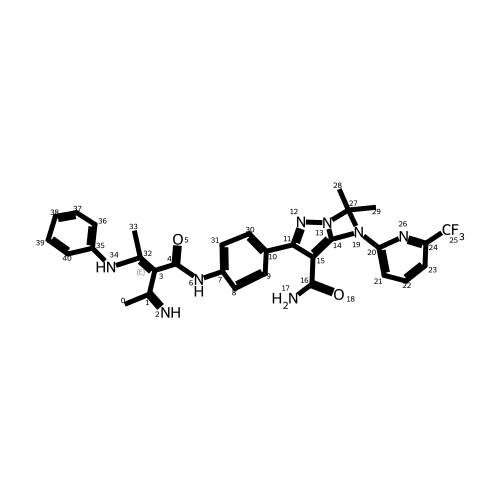 CC(=N)/C(C(=O)Nc1ccc(-c2nn3c(c2C(N)=O)N(c2cccc(C(F)(F)F)n2)C3(C)C)cc1)=C(/C)Nc1ccccc1